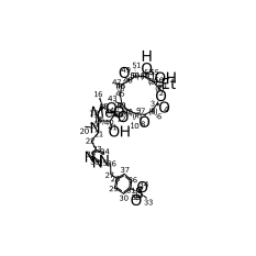 CC[C@H]1OC(=O)[C@H](C)C(=O)[C@H](C)[C@@H](O[C@@H]2O[C@H](C)C[C@H](N(C)CCc3cn(CCc4ccc(S(C)(=O)=O)cc4)nn3)C2O)[C@](C)(OC)C[C@@H](C)C(=O)[C@H](C)[C@@H](O)[C@]1(C)O